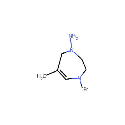 CC1=CN(C(C)C)CCN(N)C1